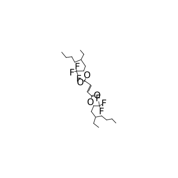 CCCCC(CC)CC(OC(=O)/C=C/C(=O)OC(CC(CC)CCCC)C(F)(F)F)C(F)(F)F